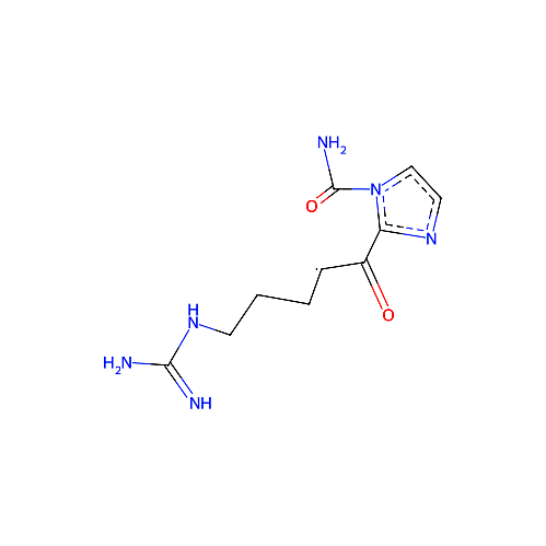 N=C(N)NCCC[CH]C(=O)c1nccn1C(N)=O